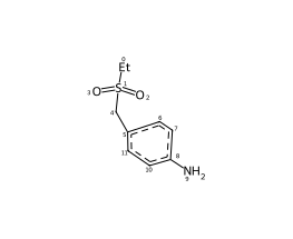 CCS(=O)(=O)Cc1ccc(N)cc1